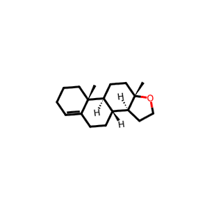 C[C@]12CCCC=C1CC[C@@H]1[C@@H]2CC[C@]2(C)OCC[C@@H]12